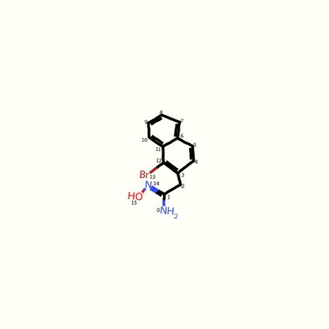 NC(Cc1ccc2ccccc2c1Br)=NO